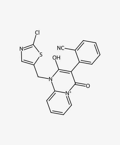 N#Cc1ccccc1-c1c(O)n(Cc2cnc(Cl)s2)c2cccc[n+]2c1=O